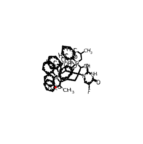 CC(C)C[Si](c1ccccc1)(c1ccccc1)C(O)C1CC(C(O)[Si](CC(C)C)(c2ccccc2)c2ccccc2)(n2cc(F)c(=O)[nH]c2=O)C1(OS(C)(=O)=O)C(O)[Si](CC(C)C)(c1ccccc1)c1ccccc1